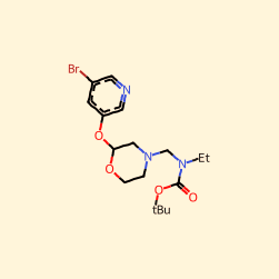 CCN(CN1CCOC(Oc2cncc(Br)c2)C1)C(=O)OC(C)(C)C